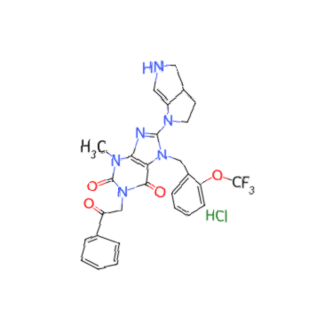 Cl.Cn1c(=O)n(CC(=O)c2ccccc2)c(=O)c2c1nc(N1CCC3CNC=C31)n2Cc1ccccc1OC(F)(F)F